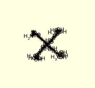 CC1C(OCCOCCOCCNC(=O)CCOCC(COCCC(=O)NCCOCCOCCOC2OC(CO)C(O)C(O)C2C)(COCCC(=O)NCCOCCOCCOC2OC(CO)C(O)C(O)C2C)CC(=O)CCCCCCCCCCC(=O)NCCOC2(OCCN)CCCC2)OC(CO)C(O)C1O